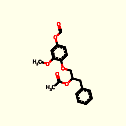 COc1cc(OC=O)ccc1OCC(Cc1ccccc1)OC(C)=O